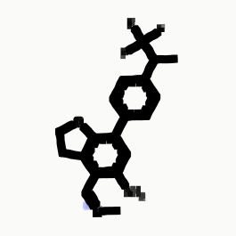 C/N=C\c1c(N)cc(-c2ccc(C(C)C(F)(F)F)cc2)c2c1CCO2